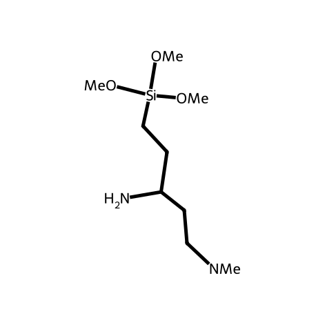 CNCCC(N)CC[Si](OC)(OC)OC